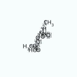 CCCCCCCN(CCOc1ccc(CC(OCC)C(=O)O)cc1)C(=O)Nc1ccccc1